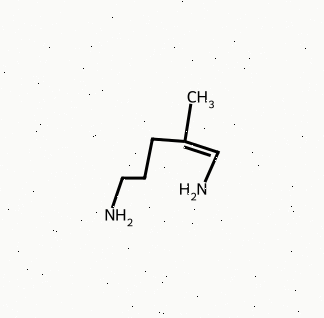 CC(=CN)CCCN